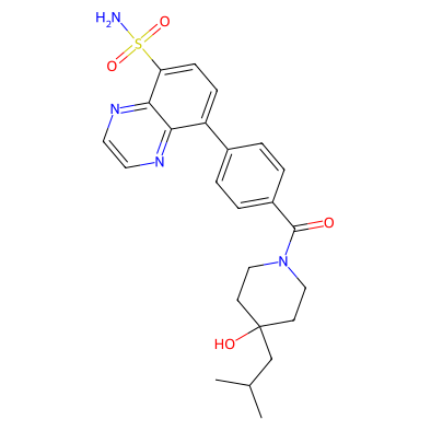 CC(C)CC1(O)CCN(C(=O)c2ccc(-c3ccc(S(N)(=O)=O)c4nccnc34)cc2)CC1